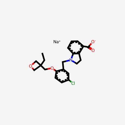 CCC1(COc2ccc(Cl)cc2CN2CCc3c(C(=O)[O-])cccc32)COC1.[Na+]